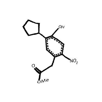 COC(=O)Cc1cc(C2CCCC2)c(O)cc1[N+](=O)[O-]